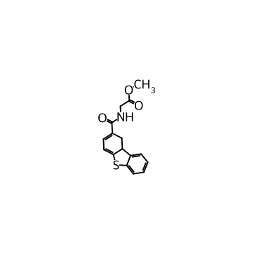 COC(=O)CNC(=O)C1=CC=C2Sc3ccccc3C2C1